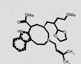 COCCC(C[C@@H]1CC(C(=O)OC)c2[nH]c3ccccc3c2CCN(CC=C(C)C)C1)C1OCCO1